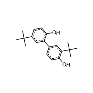 CC(C)(C)c1ccc(O)c(-c2ccc(O)c(C(C)(C)C)c2)c1